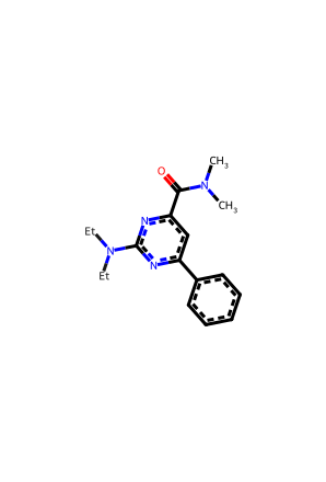 CCN(CC)c1nc(C(=O)N(C)C)cc(-c2ccccc2)n1